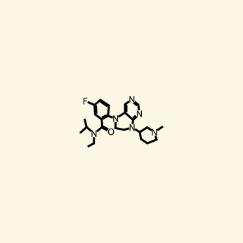 CCN(C(=O)c1cc(F)ccc1N1CCN(C2CCCN(C)C2)c2ncncc21)C(C)C